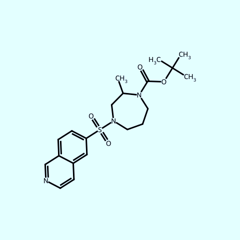 CC1CN(S(=O)(=O)c2ccc3cnccc3c2)CCCN1C(=O)OC(C)(C)C